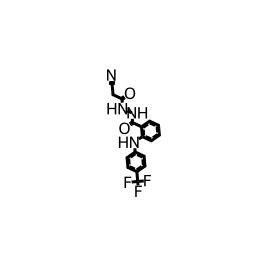 N#CCC(=O)NNC(=O)c1ccccc1Nc1ccc(C(F)(F)F)cc1